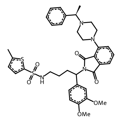 COc1ccc(C(CCCNS(=O)(=O)c2ccc(C)s2)N2C(=O)c3cccc(N4CCN([C@H](C)c5ccccc5)CC4)c3C2=O)cc1OC